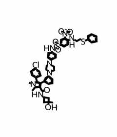 Cc1c(C(=O)NC2CC(C)(O)C2)c(-c2cccc(N3CCN(c4ccc(NS(=O)(=O)c5ccc(NCCSc6ccccc6)c([N+](=O)[O-])c5)cc4)CC3)c2)c(-c2ccc(Cl)cc2)n1C